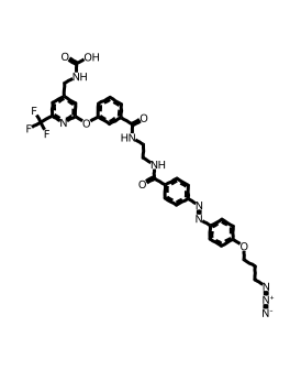 [N-]=[N+]=NCCCOc1ccc(N=Nc2ccc(C(=O)NCCNC(=O)c3cccc(Oc4cc(CNC(=O)O)cc(C(F)(F)F)n4)c3)cc2)cc1